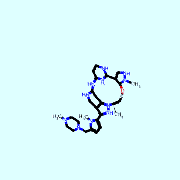 C[C@H]1CCOC2C(CNN2C)C2NCCC(NC3CC4C(CN3)C(c3ccc(CN5CCN(C)CC5)n3C)NN41)N2